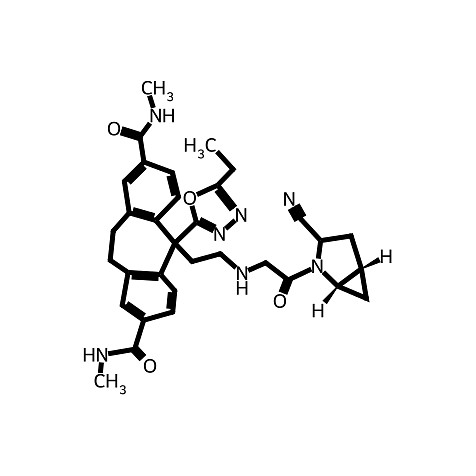 CCc1nnc(C2(CCNCC(=O)N3C(C#N)C[C@@H]4C[C@@H]43)c3ccc(C(=O)NC)cc3CCc3cc(C(=O)NC)ccc32)o1